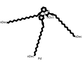 CCCCCCCCCCCCCCCCCCCCCCCCC#CC(=Nc1cccc(C#CCCCCCCCCCCCCCCCCCCCCCCCCC)c1)C(CCCCCCCC)=Nc1cccc(C#CCCCCCCCCCCCCCCCCCCCCCCCCC)c1.[Pd]